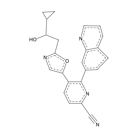 N#Cc1ccc(-c2cnc(CC(O)C3CC3)o2)c(-c2ccc3cccnc3c2)n1